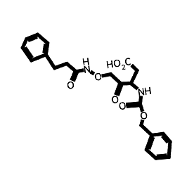 O=C(O)CC(NC(=O)OCc1ccccc1)C(=O)CONC(=O)CCc1ccccc1